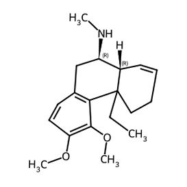 CCC12CCC=C[C@H]1[C@H](NC)Cc1ccc(OC)c(OC)c12